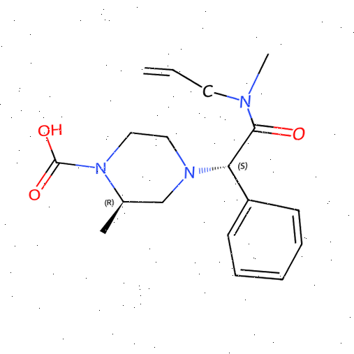 C=CCN(C)C(=O)[C@H](c1ccccc1)N1CCN(C(=O)O)[C@H](C)C1